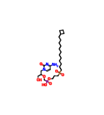 Nc1ccn(CC(CO)OCP(=O)(O)OCCCS(=O)(=O)CCCCCCCCCCCCC2CCC2)c(=O)n1